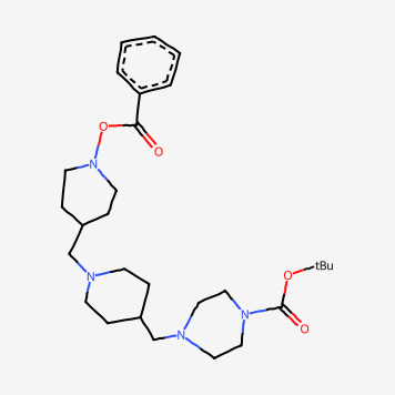 CC(C)(C)OC(=O)N1CCN(CC2CCN(CC3CCN(OC(=O)c4ccccc4)CC3)CC2)CC1